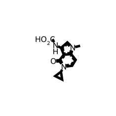 Cn1cc(NC(=O)O)c2c(=O)n(C3CC3)ccc21